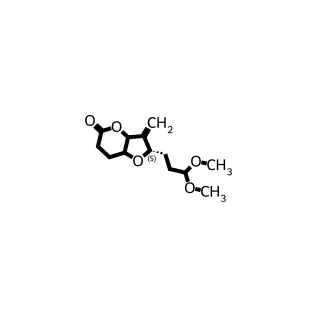 C=C1C2OC(=O)CCC2O[C@H]1CCC(OC)OC